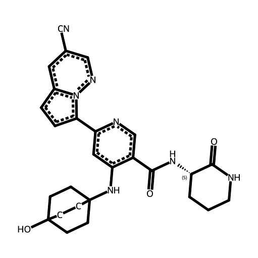 N#Cc1cnn2c(-c3cc(NC45CCC(O)(CC4)CC5)c(C(=O)N[C@H]4CCCNC4=O)cn3)ccc2c1